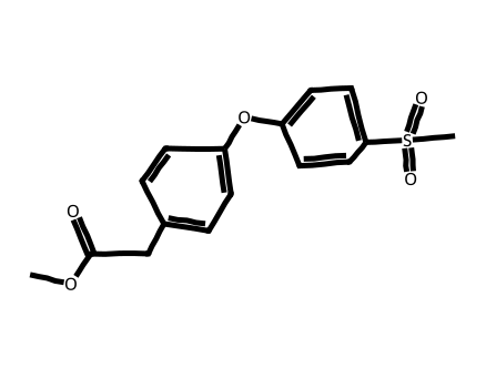 COC(=O)Cc1ccc(Oc2ccc(S(C)(=O)=O)cc2)cc1